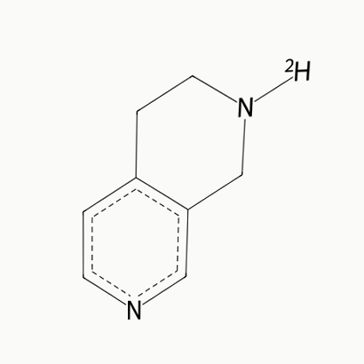 [2H]N1CCc2ccncc2C1